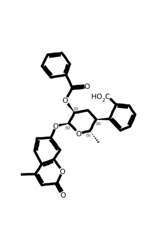 Cc1cc(=O)oc2cc(O[C@@H]3O[C@@H](C)[C@H](c4ccccc4C(=O)O)C[C@@H]3OC(=O)c3ccccc3)ccc12